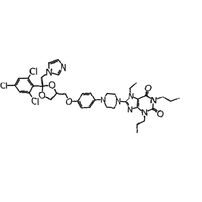 CCCn1c(=O)c2c(nc(N3CCN(c4ccc(OCC5COC(Cn6ccnc6)(c6c(Cl)cc(Cl)cc6Cl)O5)cc4)CC3)n2CC)n(CCC)c1=O